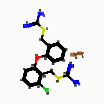 Br.Br.N=C(N)SCc1ccccc1Oc1cccc(Cl)c1CSC(=N)N